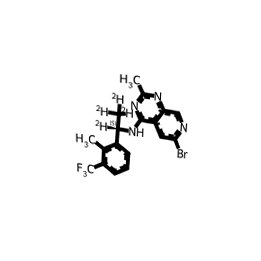 [2H]C([2H])([2H])[C@]([2H])(Nc1nc(C)nc2cnc(Br)cc12)c1cccc(C(F)(F)F)c1C